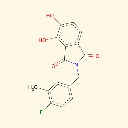 Cc1cc(CN2C(=O)c3ccc(O)c(O)c3C2=O)ccc1F